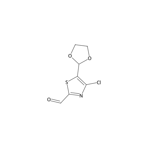 O=Cc1nc(Cl)c(C2OCCO2)s1